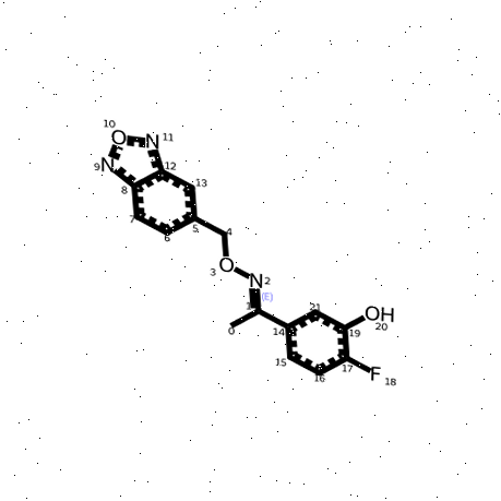 C/C(=N\OCc1ccc2nonc2c1)c1ccc(F)c(O)c1